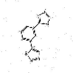 c1cc(-c2nnn[nH]2)cc(-c2nnn[nH]2)c1